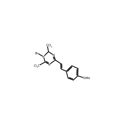 COc1ccc(C=CC2=NC(C(Cl)(Cl)Cl)N(Br)C(C(Cl)(Cl)Cl)=N2)cc1